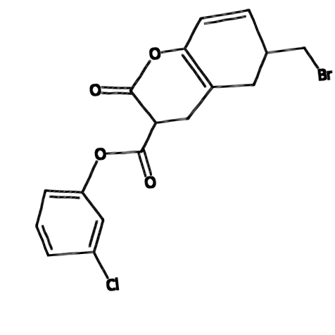 O=C1OC2=C(CC(CBr)C=C2)CC1C(=O)Oc1cccc(Cl)c1